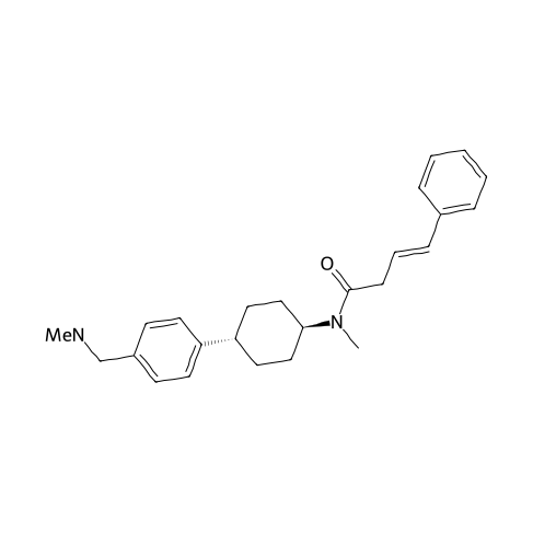 CNCc1ccc([C@H]2CC[C@H](N(C)C(=O)CC=Cc3ccccc3)CC2)cc1